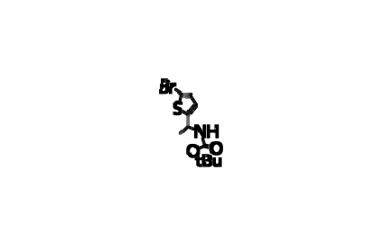 CC(NC(=O)OC(C)(C)C)c1ccc(Br)s1